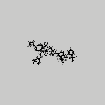 CC(C)(C)c1ccccc1Oc1ccc(-c2noc(CN3C(=O)N(CCC4CCOCC4)C4(CCN(C5CCC5)CC4)C3=O)n2)cc1C(F)(F)F